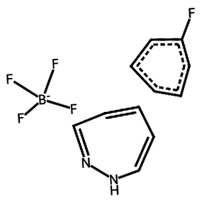 C1=CC=NNC=C1.F[B-](F)(F)F.Fc1ccccc1